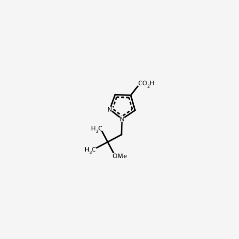 COC(C)(C)Cn1cc(C(=O)O)cn1